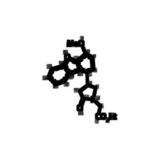 CCOC(=O)CN1CC(c2ccc(OC)c3oc4ccccc4c23)CC1=O